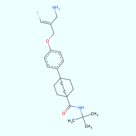 CC(C)(C)NC(=O)C12CCC(c3ccc(OCC(=CF)CN)cc3)(CC1)CC2